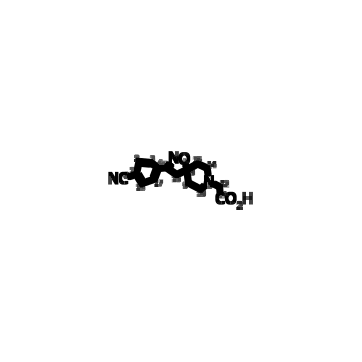 N#Cc1ccc(C2=NOC3(CCN(CC(=O)O)CC3)C2)cc1